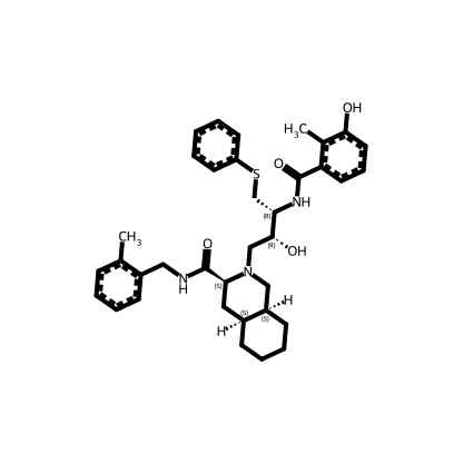 Cc1ccccc1CNC(=O)[C@@H]1C[C@@H]2CCCC[C@@H]2CN1C[C@@H](O)[C@H](CSc1ccccc1)NC(=O)c1cccc(O)c1C